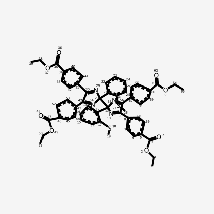 CCOC(=O)c1ccc(C2=NC(c3ccccc3SC)(C3(c4ccccc4SC)N=C(c4ccc(C(=O)OCC)cc4)C(c4ccc(C(=O)OCC)cc4)=N3)N=C2c2ccc(C(=O)OCC)cc2)cc1